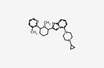 Cc1cccnc1C1CCCC(c2cn3c(N4CCN(C5CC5)CC4)cccc3n2)N1C